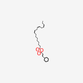 CC/C=C\C/C=C\C/C=C\CCCCCCCC(=O)OC(=O)/C=C/c1ccccc1